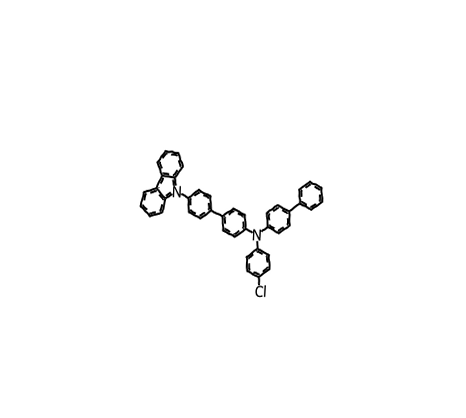 Clc1ccc(N(c2ccc(-c3ccccc3)cc2)c2ccc(-c3ccc(-n4c5ccccc5c5ccccc54)cc3)cc2)cc1